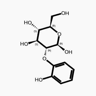 OC[C@H]1O[C@@H](O)[C@H](Oc2ccccc2O)[C@@H](O)[C@@H]1O